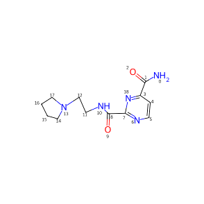 NC(=O)c1ccnc(C(=O)NCCN2CCCC2)n1